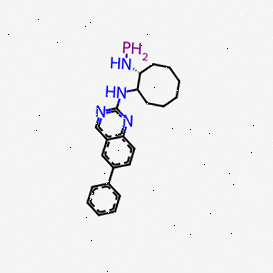 PN[C@@H]1CCCCCCC1Nc1ncc2cc(-c3ccccc3)ccc2n1